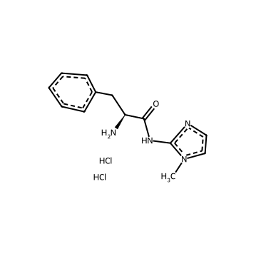 Cl.Cl.Cn1ccnc1NC(=O)[C@@H](N)Cc1ccccc1